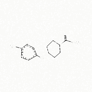 COC(=O)[C@H]1CC[C@H](Oc2ccc(C#N)cc2)CC1